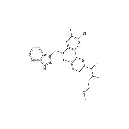 COCCN(C)C(=O)c1ccc(F)c(-c2cc(Cl)c(C)cc2OCc2n[nH]c3ncccc23)c1